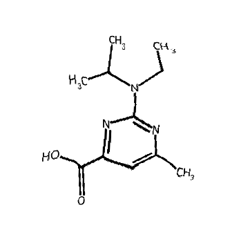 CCN(c1nc(C)cc(C(=O)O)n1)C(C)C